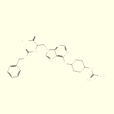 N=C(N)NC1CCC(Nc2ncnc3c2ncn3CC(NC(=O)OCc2ccccc2)C(=O)O)CC1